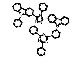 c1ccc(-c2nc(-c3ccccc3)nc(-c3cccc(-n4c5ccccc5c5ccc(-c6nnc(-c7ccc8c9ccccc9n(-c9ccccc9)c8c7)n6-c6ccccc6)cc54)c3)n2)cc1